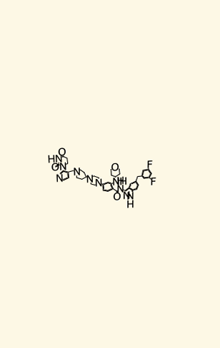 O=C1CCN(c2cnccc2CN2CCC(N3CCN(c4ccc(C(=O)Nc5n[nH]c6ccc(Cc7cc(F)cc(F)c7)cc56)c(NC5CCOCC5)c4)CC3)CC2)C(=O)N1